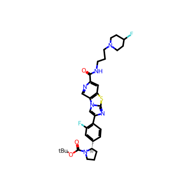 CC(C)(C)OC(=O)N1CCC[C@H]1c1ccc(-c2cn3c(n2)sc2cc(C(=O)NCCCN4CCC(F)CC4)ncc23)c(F)c1